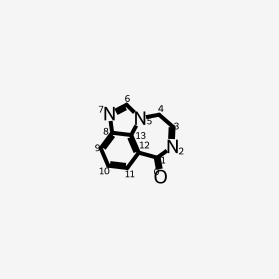 O=C1N=CCn2cnc3cccc1c32